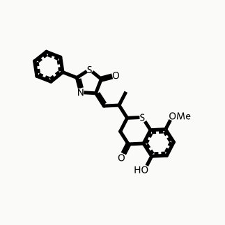 COc1ccc(O)c2c1SC(C(C)C=C1N=C(c3ccccc3)SC1=O)CC2=O